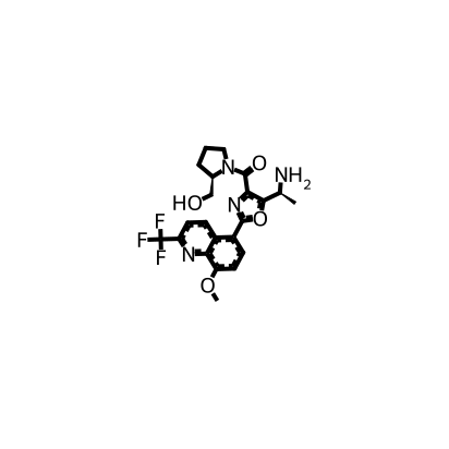 COc1ccc(-c2nc(C(=O)N3CCC[C@@H]3CO)c([C@H](C)N)o2)c2ccc(C(F)(F)F)nc12